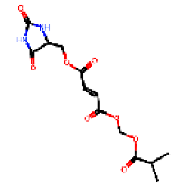 CC(C)C(=O)OCOC(=O)C=CC(=O)OCC1NC(=O)NC1=O